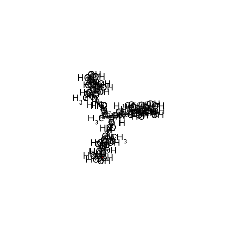 CC(=O)NC1C(O)[C@H](O[C@@H]2OC(CO)[C@H](O)C(O[C@H]3OC(CO)[C@H](O)C(O)C3O)C2O)C(CO)O[C@H]1OCCCNC(=O)COc1cc(C)cc(-c2cc(OCC(=O)NCCCO[C@@H]3OC(CO)[C@@H](O[C@@H]4OC(CO)[C@H](O)C(O[C@H]5OC(CO)[C@H](O)C(O)C5O)C4O)C(O)C3NC(C)=O)cc(OCC(=O)NCCCO[C@@H]3OC(CO)[C@@H](O[C@@H]4OC(CO)[C@H](O)C(O[C@H]5OC(CO)[C@H](O)C(O)C5O)C4O)C(O)C3NC(C)=O)c2)c1